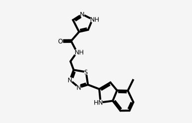 Cc1cccc2[nH]c(-c3nnc(CNC(=O)c4cn[nH]c4)s3)cc12